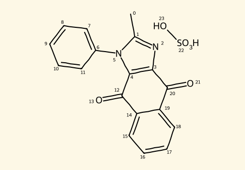 Cc1nc2c(n1-c1ccccc1)C(=O)c1ccccc1C2=O.O=S(=O)(O)O